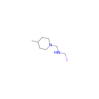 CC1CCN(CNCI)CC1